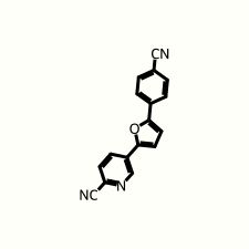 N#Cc1ccc(-c2ccc(-c3ccc(C#N)nc3)o2)cc1